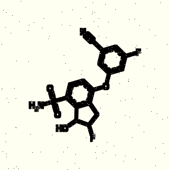 N#Cc1cc(F)cc(Oc2ccc(S(N)(=O)=O)c3c2CC(F)C3O)c1